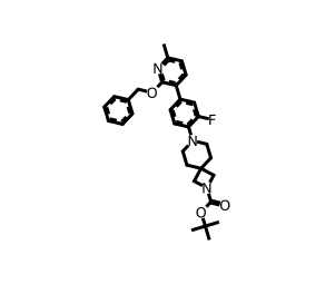 Cc1ccc(-c2ccc(N3CCC4(CC3)CN(C(=O)OC(C)(C)C)C4)c(F)c2)c(OCc2ccccc2)n1